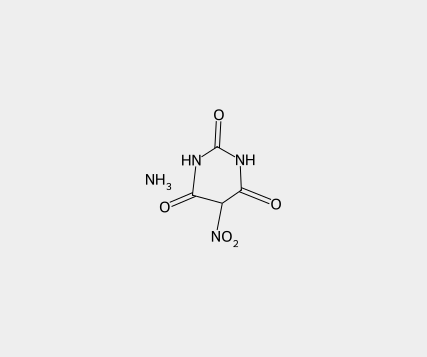 N.O=C1NC(=O)C([N+](=O)[O-])C(=O)N1